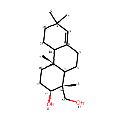 CC1(C)C=C2CCC3[C@](C)(CC[C@H](O)[C@@]3(C)CO)C2CC1